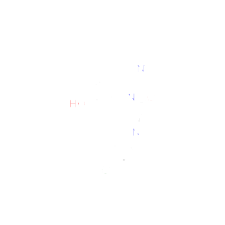 O=C(NC(Cc1ccc(O)cc1)CN1CCCC1)[C@@H]1CCN(c2ccc(Cl)cc2)C1